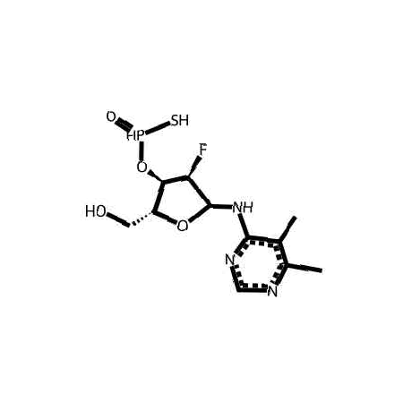 Cc1ncnc(NC2O[C@H](CO)[C@@H](O[PH](=O)S)[C@H]2F)c1C